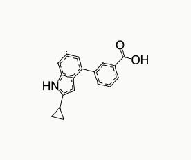 O=C(O)c1cccc(-c2c[c]cc3[nH]c(C4CC4)cc23)c1